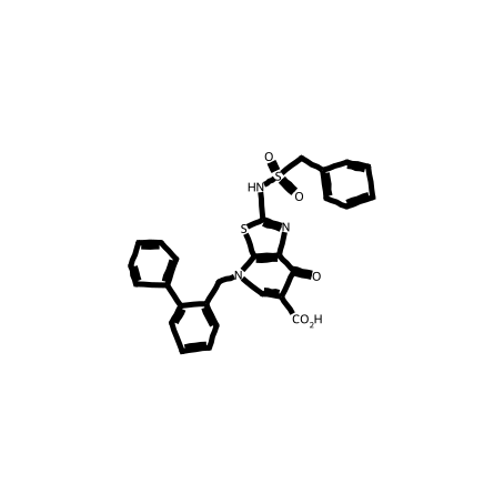 O=C(O)c1cn(Cc2ccccc2-c2ccccc2)c2sc(NS(=O)(=O)Cc3ccccc3)nc2c1=O